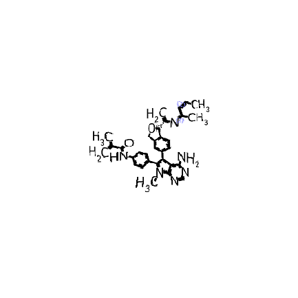 C=C(C)C(=O)Nc1ccc(-c2c(-c3ccc4c(c3)CO[C@@H]4C(=C)/N=C(C)\C=C/C)c3c(N)ncnc3n2C)cc1